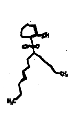 CCCCCCCC(CCCCC)S(=O)(=O)C1CCCCC1O